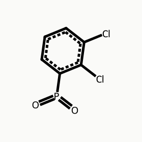 O=P(=O)c1cccc(Cl)c1Cl